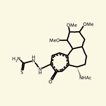 COC1CC2CC[C@H](NC(C)=O)c3cc(=O)c(NNC(N)=S)ccc3C2C(OC)C1OC